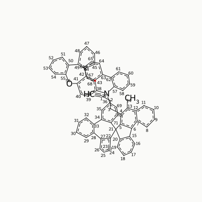 C#CCCc1c2c(c3ccccc3c1C)-c1ccccc1C21c2c#cccc2-c2ccccc2-c2cc(N(c3ccc4c(c3)-c3ccccc3-c3ccccc3O4)c3ccccc3-c3ccccc3)ccc21